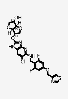 O[C@@H]1CO[C@H]2[C@@H]1OC[C@H]2Oc1nc2nc(NCc3c(F)cc(OCc4cscn4)cc3F)c(Cl)cc2[nH]1